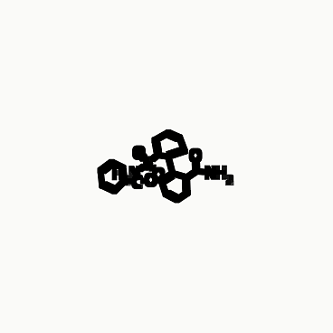 NC(=O)c1cccc(OCc2ccccc2)c1-c1ccccc1S(N)(=O)=O